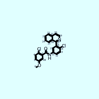 COc1ccc(Cl)c(C(=O)Nc2ccc(Cl)c(-c3nccc4ccccc34)c2)c1